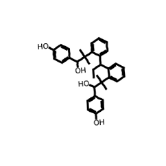 CCC(c1ccccc1C(C)(C)C(O)c1ccc(O)cc1)c1ccccc1C(C)(C)C(O)c1ccc(O)cc1